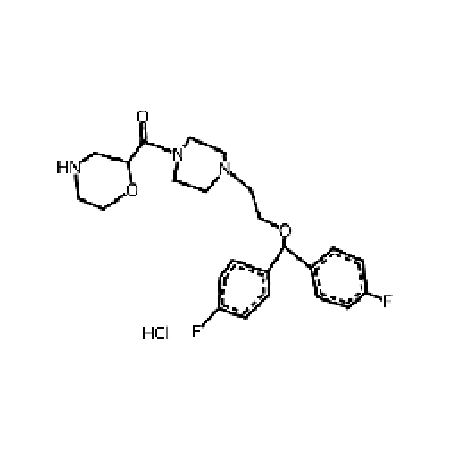 Cl.O=C(C1CNCCO1)N1CCN(CCOC(c2ccc(F)cc2)c2ccc(F)cc2)CC1